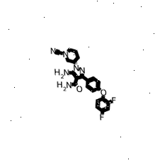 N#CN1CCC[C@H](n2nc(-c3ccc(Oc4ccc(F)cc4F)cc3)c(C(N)=O)c2N)C1